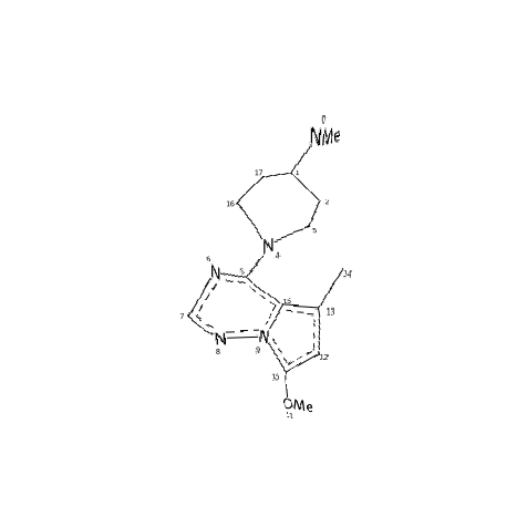 CNC1CCN(c2ncnn3c(OC)cc(C)c23)CC1